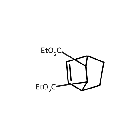 CCOC(=O)C1C2C=CC(CC2)C1C(=O)OCC